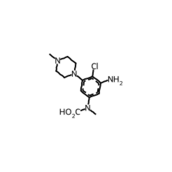 CN1CCN(c2cc(N(C)C(=O)O)cc(N)c2Cl)CC1